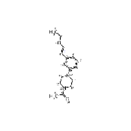 CCO/C=C/c1cncc(N2CCN(C(C)=O)CC2)n1